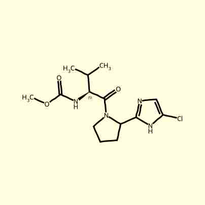 COC(=O)N[C@H](C(=O)N1CCCC1c1ncc(Cl)[nH]1)C(C)C